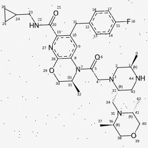 C[C@@H]1CN(CC(=O)N2c3cc(Cc4ccc(F)cc4)c(C(=O)NCC4CC4)nc3OC[C@@H]2C)[C@@H](CN2[C@H](C)COC[C@H]2C)CN1